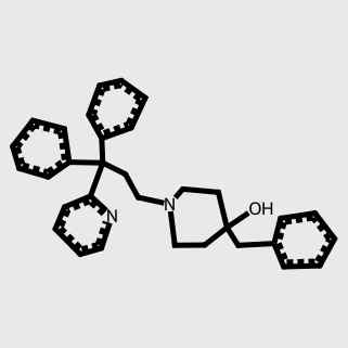 OC1(Cc2ccccc2)CCN(CCC(c2ccccc2)(c2ccccc2)c2ccccn2)CC1